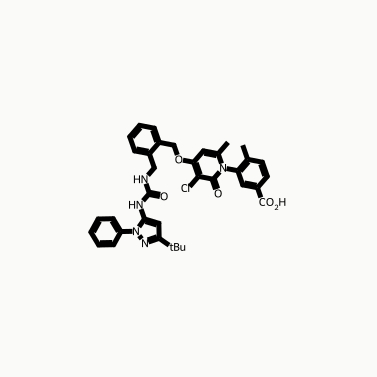 Cc1ccc(C(=O)O)cc1-n1c(C)cc(OCc2ccccc2CNC(=O)Nc2cc(C(C)(C)C)nn2-c2ccccc2)c(Cl)c1=O